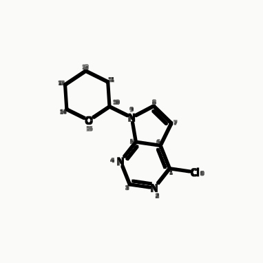 Clc1ncnc2c1ccn2C1CCCCO1